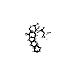 CC(C)[C@@H](N)C(=O)O[C@]1(I)C(=O)OCc2c1cc1n(c2=O)Cc2cc3ccccc3nc2-1